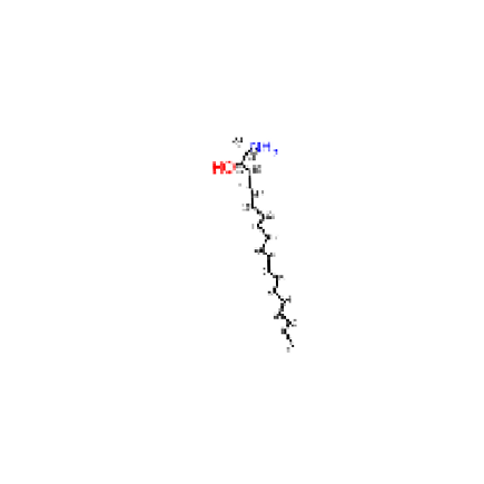 CCCCCCCCCCCCCCCCC[C@@H](O)[C@H](C)N